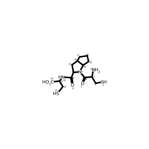 NC(CS)C(=O)N1C(C(=O)NC(CS)C(=O)O)CC2CCCC21